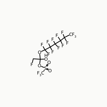 O=S(=O)(OC(O)(CF)OC(F)(F)C(F)(F)C(F)(F)C(F)(F)C(F)(F)C(F)(F)F)C(F)(F)F